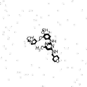 CCN1CC[C@@H](COc2cc(Nc3nc(C)cc(NCC4CCOCC4)n3)ccc2OC)C1